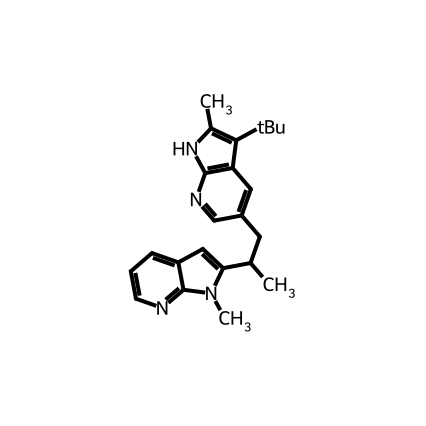 Cc1[nH]c2ncc(CC(C)c3cc4cccnc4n3C)cc2c1C(C)(C)C